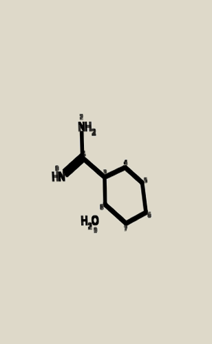 N=C(N)C1CCCCC1.O